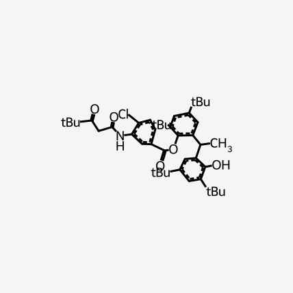 CC(c1cc(C(C)(C)C)cc(C(C)(C)C)c1O)c1cc(C(C)(C)C)cc(C(C)(C)C)c1OC(=O)c1ccc(Cl)c(NC(=O)CC(=O)C(C)(C)C)c1